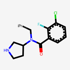 CC(C)CN(C(=O)c1cccc(Cl)c1F)C1CCNC1